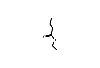 C[CH]OC(=O)CCC